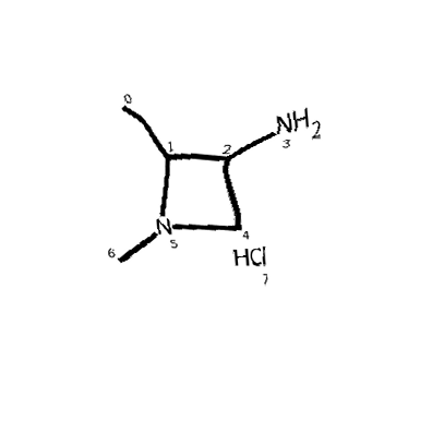 CC1C(N)CN1C.Cl